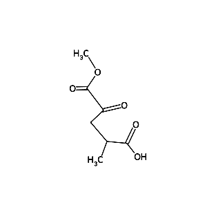 COC(=O)C(=O)CC(C)C(=O)O